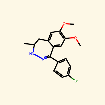 COc1cc2c(cc1OC)C(c1ccc(Br)cc1)=NNC(C)C2